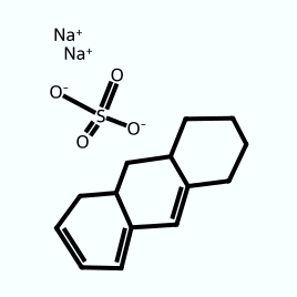 C1=CCC2CC3CCCCC3=CC2=C1.O=S(=O)([O-])[O-].[Na+].[Na+]